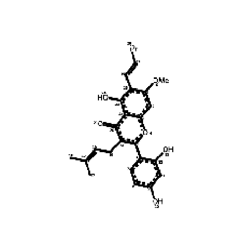 COc1cc2oc(-c3ccc(O)cc3O)c(CC=C(C)C)c(=O)c2c(O)c1C=CC(C)C